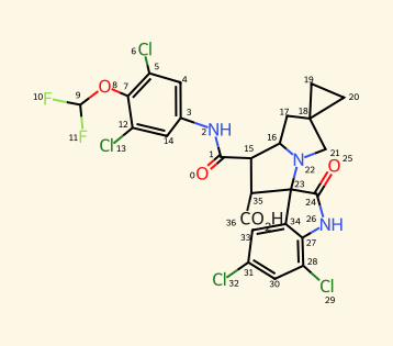 O=C(Nc1cc(Cl)c(OC(F)F)c(Cl)c1)C1C2CC3(CC3)CN2C2(C(=O)Nc3c(Cl)cc(Cl)cc32)C1C(=O)O